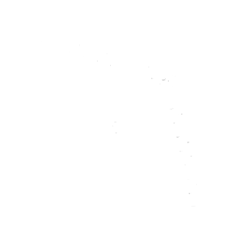 CCCCCCCCCCCCCCCCCC[N+](C)(C)CCCCCCCCCCCCCCCCCC.CCl